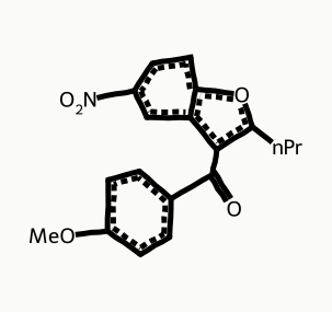 CCCc1oc2ccc([N+](=O)[O-])cc2c1C(=O)c1ccc(OC)cc1